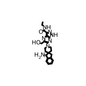 CCNC(=O)c1n[nH]c2nc(N3CCC4(CC3)Cc3ccccc3[C@H]4N)c(CO)nc12